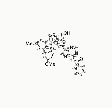 COc1ccc(C(O[C@@H]2[C@@H](F)[C@@H](CO)O[C@H]2n2cnc3c(NC(=O)c4ccccc4)ncnc32)(c2ccccc2)c2ccc(OC)cc2)cc1